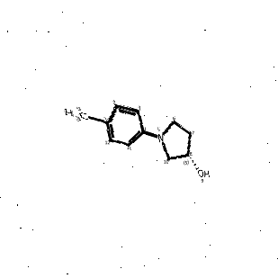 Cc1ccc(N2CC[C@H](O)C2)cc1